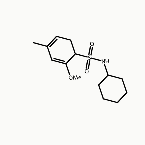 COC1=CC(C)=CCC1S(=O)(=O)NC1CCCCC1